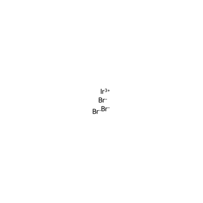 [Br-].[Br-].[Br-].[Ir+3]